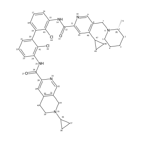 C[C@@H]1CCCCN1Cc1cnc(C(=O)Nc2cccc(-c3cccc(NC(=O)c4cc5c(cn4)CN(C4CC4)CC5)c3Cl)c2Cl)cc1C1CC1